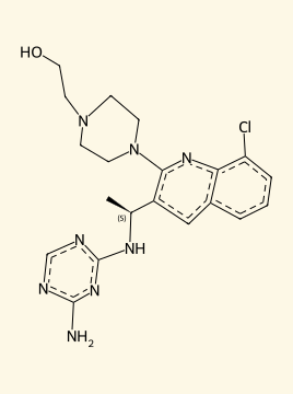 C[C@H](Nc1ncnc(N)n1)c1cc2cccc(Cl)c2nc1N1CCN(CCO)CC1